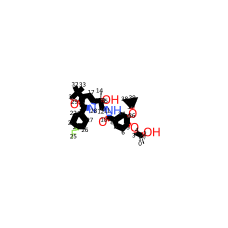 C[C@@H](O)COc1ccc(C(=O)NC[C@](C)(O)c2cc3c(c(-c4ccc(F)cc4)n2)OCC3(C)C)cc1OC1CC1